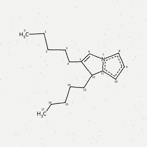 CCCCCC1=Cn2cccc2C1CCCCC